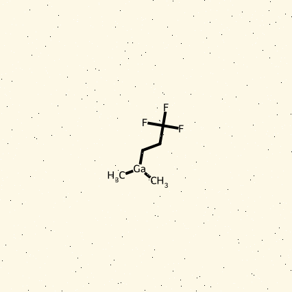 [CH3][Ga]([CH3])[CH2]CC(F)(F)F